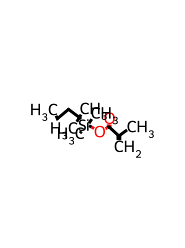 C=C(C)C(=O)O[Si](C)(C)C(C)(C)CCC